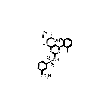 Cc1cccc(C)c1-c1cc(N[C@H](CC(C)C)[C@H](C)O)nc(NS(=O)(=O)c2cccc(C(=O)O)c2)n1